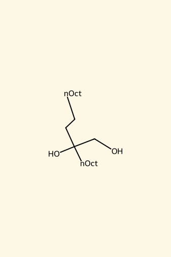 CCCCCCCCCCC(O)(CO)CCCCCCCC